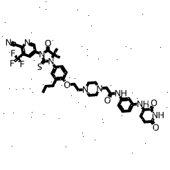 CCCc1cc(N2C(=S)N(c3cnc(C#N)c(C(F)(F)F)c3)C(=O)C2(C)C)ccc1OCCN1CCN(CC(=O)Nc2cccc(NC3CCC(=O)NC3=O)c2)CC1